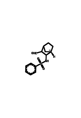 O=CC1C2CC[C@@H](C2)C1NS(=O)(=O)c1ccccc1